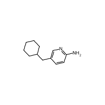 Nc1ccc(CC2CCCCC2)cn1